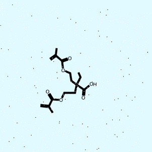 C=C(C)C(=O)OCCC(CC)(CCOC(=O)C(=C)C)C(=O)O